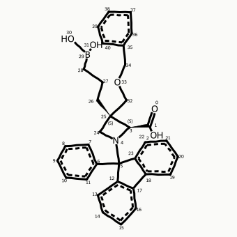 O=C(O)[C@H]1N(C2(c3ccccc3)c3ccccc3-c3ccccc32)C[C@]1(CCCB(O)O)COCc1ccccc1